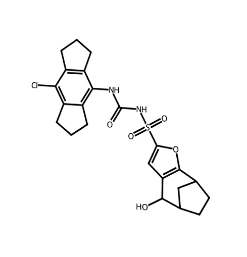 O=C(Nc1c2c(c(Cl)c3c1CCC3)CCC2)NS(=O)(=O)c1cc2c(o1)C1CCC(C1)C2O